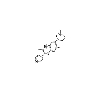 Cc1cc2nc(-c3ccncc3)c(C)nc2cc1C1CCCNC1